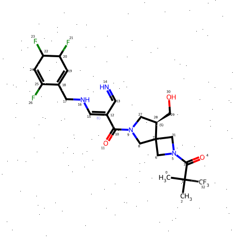 CC(C)(C(=O)N1CC2(CN(C(=O)/C(C=N)=C/NCC3=CC(F)C(F)C=C3F)C[C@H]2CO)C1)C(F)(F)F